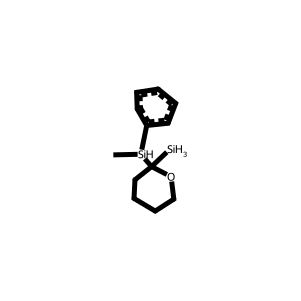 C[SiH](c1ccccc1)C1([SiH3])CCCCO1